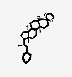 C[C@H](Cc1ccccc1)[C@H]1CC[C@H]2C3=C(CC[C@]12C)[C@@]1(C)CCC2(C[C@@]1(C#N)CC3)OCCO2